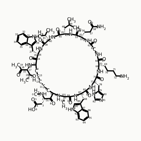 CN[C@@H](CC(=O)O)C(=O)C1CSCSCC(N[C@H](C(C)=O)[C@@H](C)O)C(=O)[C@H](Cc2c[nH]c3ccccc23)NC(=O)[C@H](C(C)C)NC(=O)[C@H](CC(C)C)NC(=O)[C@H](CCC(N)=O)NC(=O)CNC(=O)[C@H](CCCCN)NC(=O)[C@H](Cc2cnc[nH]2)NC(=O)[C@H](Cc2c[nH]c3ccccc23)NC(=O)[C@H](C)N1